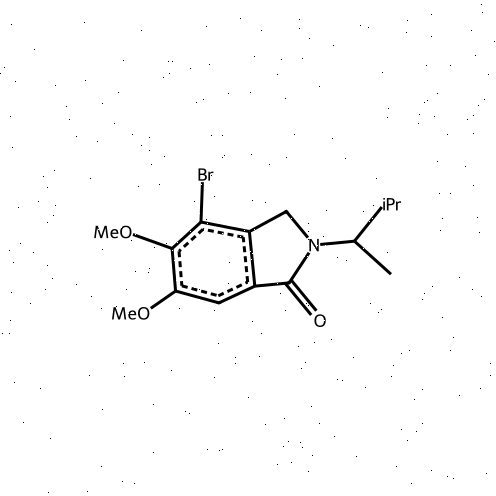 COc1cc2c(c(Br)c1OC)CN(C(C)C(C)C)C2=O